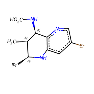 CC(C)[C@@H]1Nc2cc(Br)cnc2[C@H](NC(=O)O)[C@H]1C